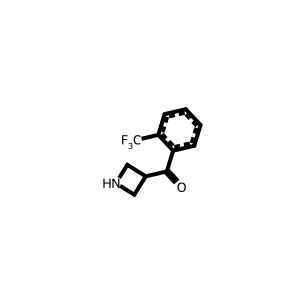 O=C(c1ccccc1C(F)(F)F)C1CNC1